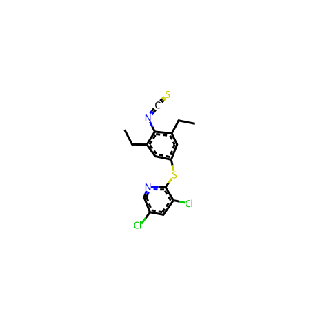 CCc1cc(Sc2ncc(Cl)cc2Cl)cc(CC)c1N=C=S